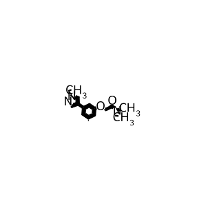 CN(C)C(=O)COc1c[c]cc(-c2cnn(C)c2)c1